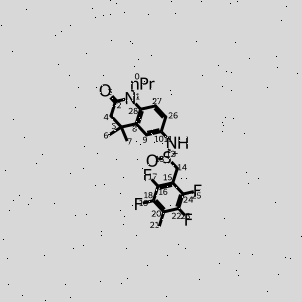 CCCN1C(=O)CC(C)(C)c2cc(N[S+]([O-])Cc3c(F)c(F)c(C)c(F)c3F)ccc21